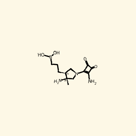 C[C@]1(N)CN(c2c(N)c(=O)c2=O)C[C@@H]1CCCB(O)O